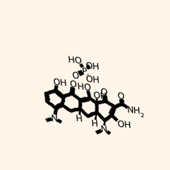 CN(C)c1ccc(O)c2c1C[C@H]1C[C@H]3[C@H](N(C)C)C(O)=C(C(N)=O)C(=O)[C@@]3(O)C(O)=C1C2=O.O=P(O)(O)O